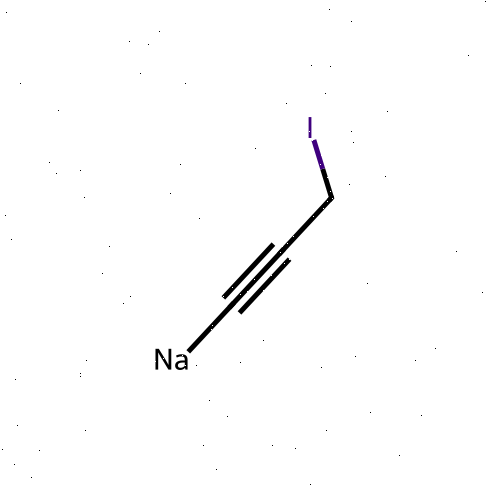 [Na][C]#CCI